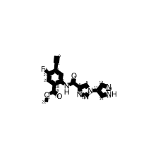 C#Cc1cc(NC(=O)c2cn(-c3cn[nH]c3)nn2)c(C(=O)OC)cc1F